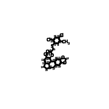 Cc1cc(SCC(=O)OC2C(O)C=C3CCN4Cc5cc6c(cc5C2C34)OCO6)c(Cl)cc1Cl